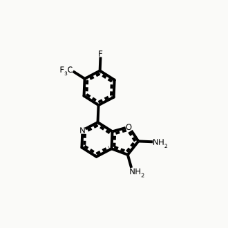 Nc1oc2c(-c3ccc(F)c(C(F)(F)F)c3)nccc2c1N